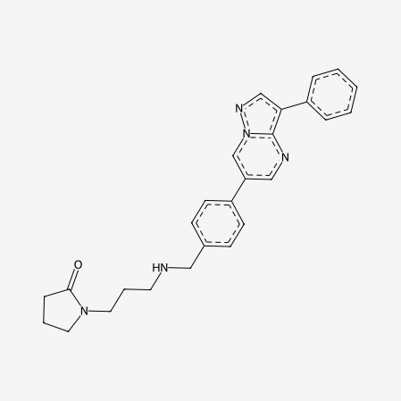 O=C1CCCN1CCCNCc1ccc(-c2cnc3c(-c4ccccc4)cnn3c2)cc1